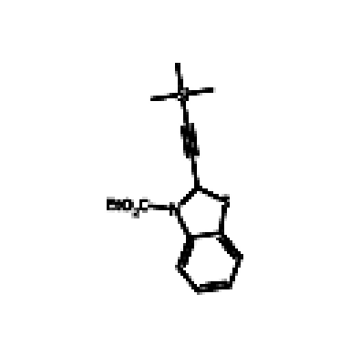 CCOC(=O)N1c2ccccc2SC1C#C[Si](C)(C)C